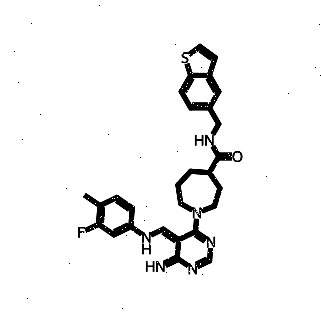 Cc1ccc(N/C=C2\C(=N)N=CN=C2N2CCCC(C(=O)NCc3ccc4sccc4c3)CC2)cc1F